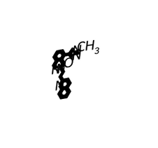 Cn1cc(-c2cccc3cnn(CCc4ccc5ccccc5n4)c(=O)c23)cn1